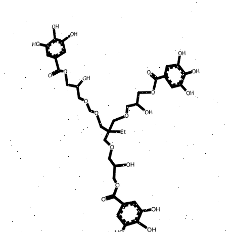 CCC(COCOCC(O)COC(=O)c1cc(O)c(O)c(O)c1)(COCC(O)COC(=O)c1cc(O)c(O)c(O)c1)COCC(O)COC(=O)c1cc(O)c(O)c(O)c1